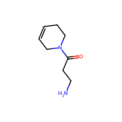 NCCC(=O)N1CC=[C]CC1